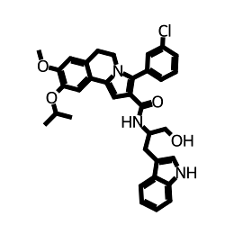 COc1cc2c(cc1OC(C)C)-c1cc(C(=O)NC(CO)Cc3c[nH]c4ccccc34)c(-c3cccc(Cl)c3)n1CC2